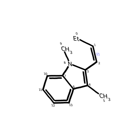 CC/C=C\c1c(C)c2c(n1C)=CC=C=C=2